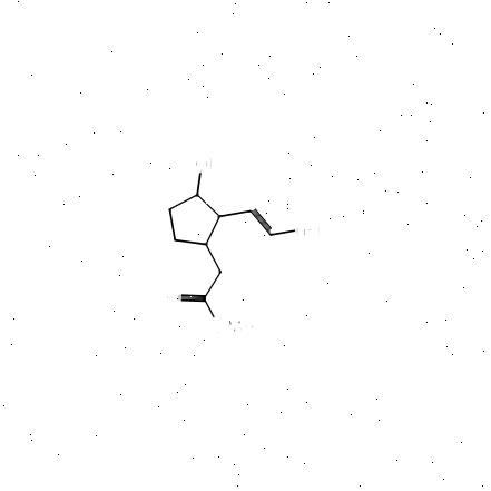 CCCC=CC1C(O)CCC1CC(=O)OC